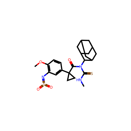 CNC(=S)N(C(=O)C1(c2ccc(OC)c(N=S(=O)=O)c2)CC1)C1C2CC3CC(C2)CC1C3